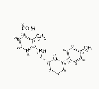 Cc1c(NC[C@H]2CCC[C@@H](c3ccc(O)cc3)O2)ncnc1C(=O)O